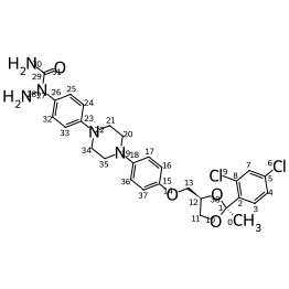 C[C@]1(c2ccc(Cl)cc2Cl)OC[C@@H](COc2ccc(N3CCN(c4ccc(N(N)C(N)=O)cc4)CC3)cc2)O1